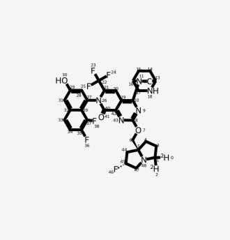 [2H]C1([2H])CC[C@@]2(COc3nc(N4CC5CCC4CN5)c4cc(C(F)(F)F)n(-c5cc(O)cc6ccc(F)c(F)c56)c(=O)c4n3)C[C@@H](F)CN12